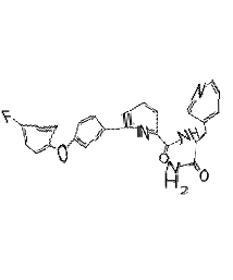 NC(=O)[C@H](Cc1cccnc1)NC(=O)c1cccc(-c2ccc(Oc3ccc(F)cc3)cc2)n1